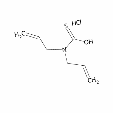 C=CCN(CC=C)C(O)=S.Cl